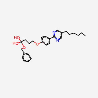 CCCCCCc1cnc(-c2ccc(OCCCC(O)(O)OCc3ccccc3)cc2)nc1